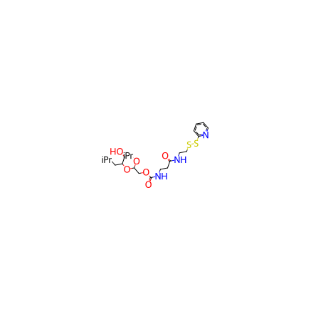 CC(C)CC(CO)OC(COC(=O)NCCC(=O)NCCSSc1ccccn1)OC(C)C